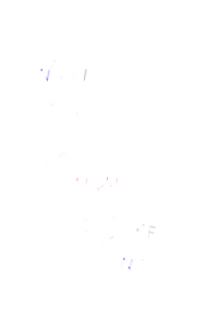 O=C(COC(=O)c1cccc(C2(C(F)(F)F)C=N2)c1)c1ccc(C2(C(F)(F)F)C=N2)cc1